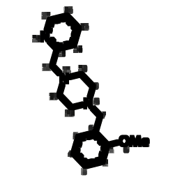 COc1ccccc1CN1CCN(Cc2ccccn2)CC1